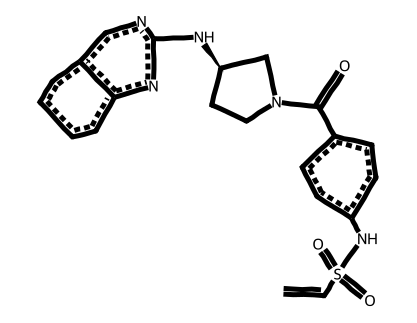 C=CS(=O)(=O)Nc1ccc(C(=O)N2CC[C@@H](Nc3ncc4ccccc4n3)C2)cc1